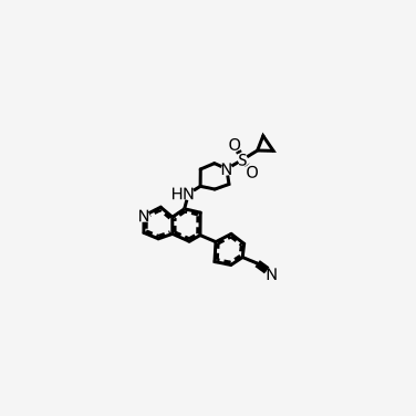 N#Cc1ccc(-c2cc(NC3CCN(S(=O)(=O)C4CC4)CC3)c3cnccc3c2)cc1